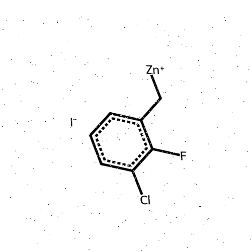 Fc1c(Cl)cccc1[CH2][Zn+].[I-]